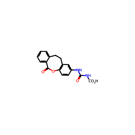 O=C(O)NC(=O)Nc1ccc2c(c1)CCc1ccccc1C(=O)O2